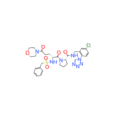 O=C(NCc1cc(Cl)ccc1-n1cnnn1)[C@@H]1CCCN1C(=O)[C@@H](CCC(=O)N1CCOCC1)NS(=O)(=O)Cc1ccccc1